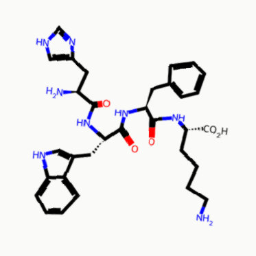 NCCCC[C@H](NC(=O)[C@H](Cc1ccccc1)NC(=O)[C@H](Cc1c[nH]c2ccccc12)NC(=O)[C@@H](N)Cc1c[nH]cn1)C(=O)O